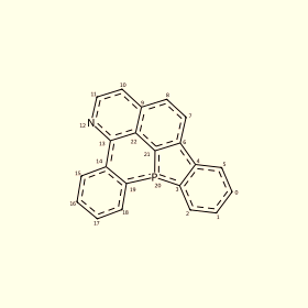 c1ccc2c(c1)c1ccc3ccnc4c5ccccc5p2c1c34